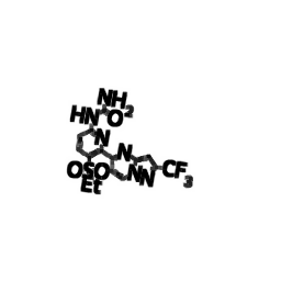 CCS(=O)(=O)c1ccc(NC(N)=O)nc1-c1ccn2nc(C(F)(F)F)cc2n1